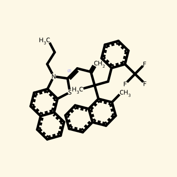 C=C(/C=C1\Sc2c(ccc3ccccc23)N1CCC)C(C)(Cc1ccccc1C(F)(F)F)c1c(C)ccc2ccccc12